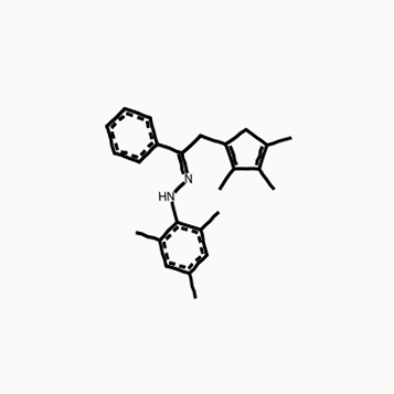 CC1=C(C)C(C)=C(CC(=NNc2c(C)cc(C)cc2C)c2ccccc2)C1